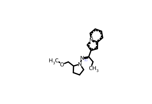 CC/C(=N\N1CCCC1COC)c1cc2ccccn2c1